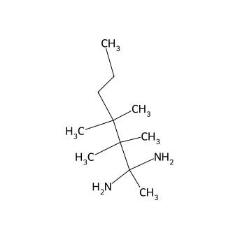 CCCC(C)(C)C(C)(C)C(C)(N)N